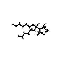 CCCCCCCC(C)(CCCCCC)c1c(C)n[nH]c1C